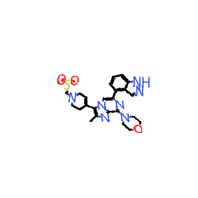 Cc1nc2c(N3CCOCC3)nc(-c3cccc4[nH]ncc34)cn2c1C1=CCN(C=S(=O)=O)CC1